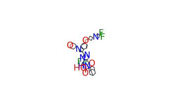 CC(F)(F)c1nc(-c2cn(C3CCOCC3)c3cc(OC4CC(N5CC(F)(F)C5)C4)ccc23)ncc1C(=O)NC1(C(=O)O)C2CC3CC(C2)CC1C3